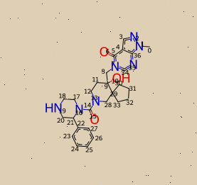 Cn1ncc2c(=O)n(CC3(O)CCN(C(=O)N4CCNCC4c4ccccc4)CC34CCCC4)cnc21